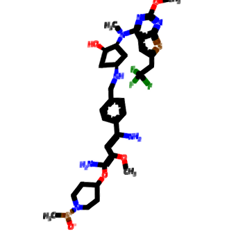 COC(/C=C(\N)c1ccc(CN[C@H]2C[C@@H](O)[C@@H](N(C)c3nc(OC)nc4sc(CC(F)(F)F)cc34)C2)cc1)=C(/N)OC1CCN([S+](C)[O-])CC1